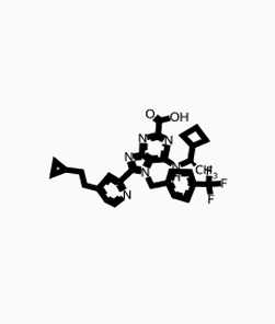 C[C@@H](Nc1nc(C(=O)O)nc2nc(-c3cc(CCC4CC4)ccn3)n(Cc3ccc(C(F)(F)F)cc3)c12)C1CCC1